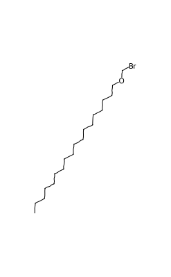 CCCCCCCCCCCCCCCCCCOCBr